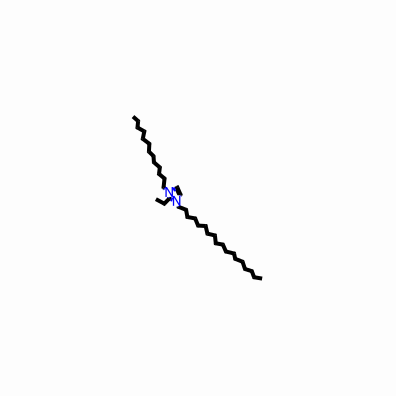 CCCCCCCCCCCCCCCCCCN1C=CN(CCCCCCCCCCCCC)C1CC